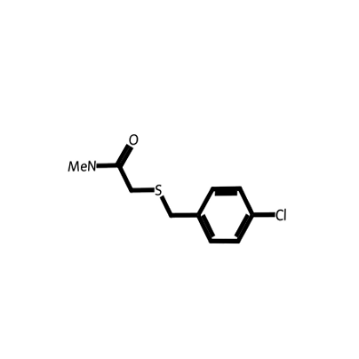 CNC(=O)CSCc1ccc(Cl)cc1